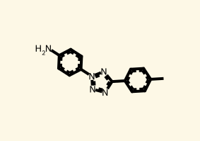 Cc1ccc(-c2nnn(-c3ccc(N)cc3)n2)cc1